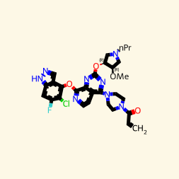 C=CC(=O)N1CCN(c2nc(O[C@@H]3CN(CCC)C[C@H]3OC)nc3c(Oc4c(Cl)c(F)cc5[nH]ncc45)nccc23)CC1